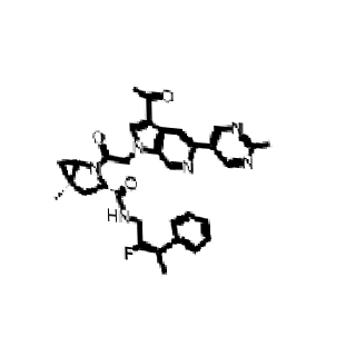 CC(=O)c1cn(CC(=O)N2C3C[C@]3(C)C[C@H]2C(=O)NC/C(F)=C(/C)c2ccccc2)c2cnc(-c3cnc(C)nc3)cc12